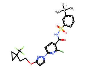 C[Si](C)(C)c1cccc(S(=O)(=O)NC(=O)c2ccc(-n3ccc(OCCC4(C(F)(F)F)CC4)n3)nc2Cl)c1